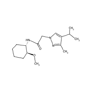 CO[C@H]1CCCC[C@@H]1NC(=O)Cn1cc(C(C)C)c(C)n1